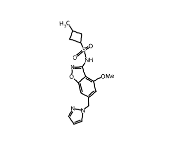 COc1cc(Cn2cccn2)cc2onc(NS(=O)(=O)C3CC(C)C3)c12